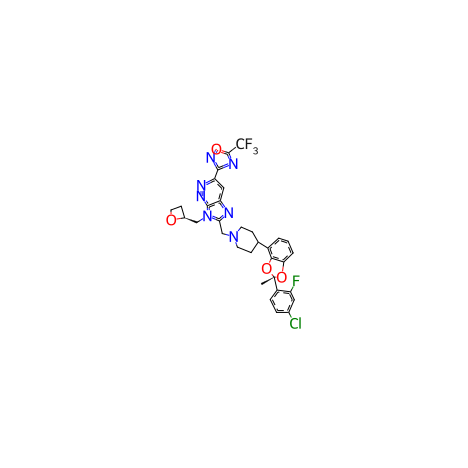 C[C@]1(c2ccc(Cl)cc2F)Oc2cccc(C3CCN(Cc4nc5cc(-c6noc(C(F)(F)F)n6)nnc5n4C[C@@H]4CCO4)CC3)c2O1